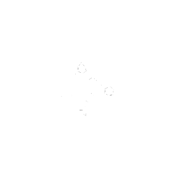 Cc1ccc(C2(CCN3CCN(C(C)(C)C(N)=O)CC3)CCCN(C(=O)Cc3cc(Cl)cc(Cl)c3)C2)cc1C.Cl.Cl